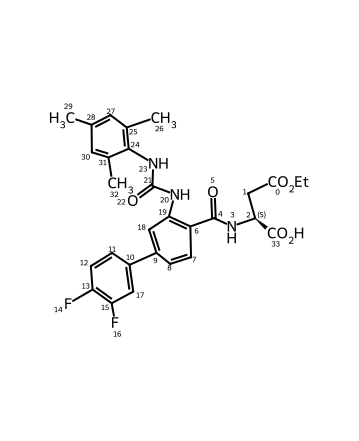 CCOC(=O)C[C@H](NC(=O)c1ccc(-c2ccc(F)c(F)c2)cc1NC(=O)Nc1c(C)cc(C)cc1C)C(=O)O